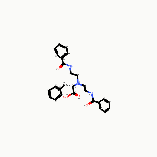 O=C(NCCN(CCNC(=O)c1ccccc1)[C@@H](Cc1ccccc1)C(=O)O)c1ccccc1